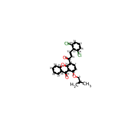 C=C(C)COc1ccc(C(=O)C=Cc2c(Cl)cccc2Cl)c2oc3ccccc3c(=O)c12